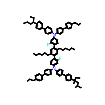 CCCCCCc1cc(-c2ccc(N(c3ccc(-c4ccc(CCC)cc4)cc3)c3ccc(-c4ccc(C(C)(CC)CC(C)C)cc4)cc3)cc2F)c(CCCCCC)cc1-c1ccc(N(c2ccc(-c3ccc(CCC)cc3)cc2)c2ccc(-c3ccc(C(CC)CCC)cc3)cc2)cc1F